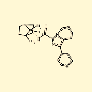 CC1(C)C2CC[C@@]1(C)[C@@H](NC(=O)c1nc(-c3ccncc3)c3ccccn13)C2